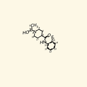 CB(O)N1CCC(C(=O)Nc2ccccc2F)CC1